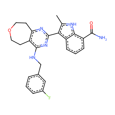 Cc1[nH]c2c(C(N)=O)cccc2c1-c1nc2c(c(NCc3cccc(F)c3)n1)CCOCC2